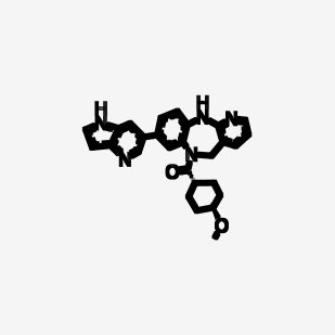 CO[C@H]1CC[C@H](C(=O)N2Cc3cccnc3Nc3ccc(-c4cnc5cc[nH]c5c4)cc32)CC1